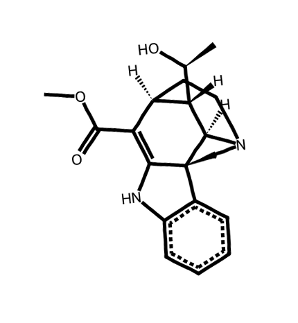 COC(=O)C1=C2Nc3ccccc3[C@]23CCN2CC[C@H]1[C@H]([C@H](C)O)[C@@H]23